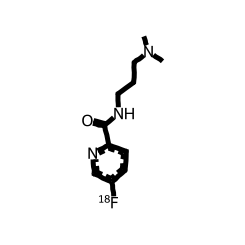 CN(C)CCCNC(=O)c1ccc([18F])cn1